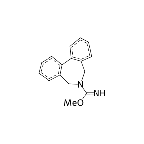 COC(=N)N1Cc2ccccc2-c2ccccc2C1